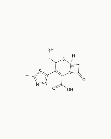 Cc1nnc(C2=C(C(=O)O)N3C(=O)C[C@@H]3SC2CS)s1